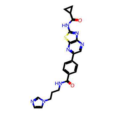 O=C(NCCCn1ccnc1)c1ccc(-c2cnc3nc(NC(=O)C4CC4)sc3n2)cc1